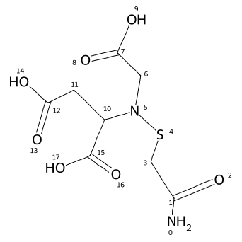 NC(=O)CSN(CC(=O)O)C(CC(=O)O)C(=O)O